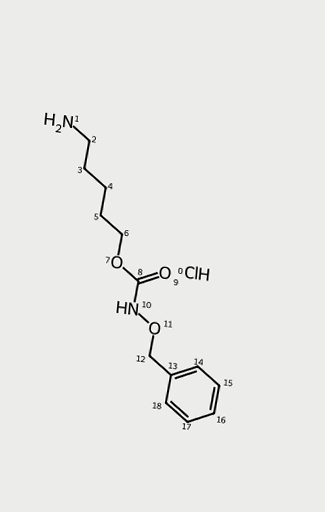 Cl.NCCCCCOC(=O)NOCc1ccccc1